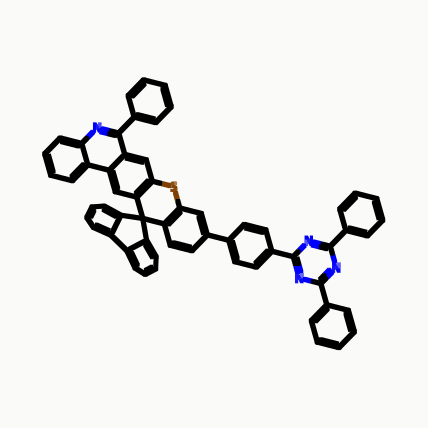 c1ccc(-c2nc(-c3ccccc3)nc(-c3ccc(-c4ccc5c(c4)Sc4cc6c(-c7ccccc7)nc7ccccc7c6cc4C54c5ccccc5-c5ccccc54)cc3)n2)cc1